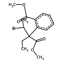 CCC(C(=O)OC)(c1ccccc1C(=O)OC)C(C)Br